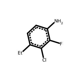 CCc1ccc(N)c(F)c1Cl